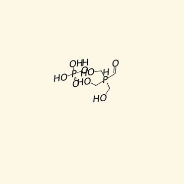 O=C[PH](CO)(CO)CO.O=P(O)(O)O